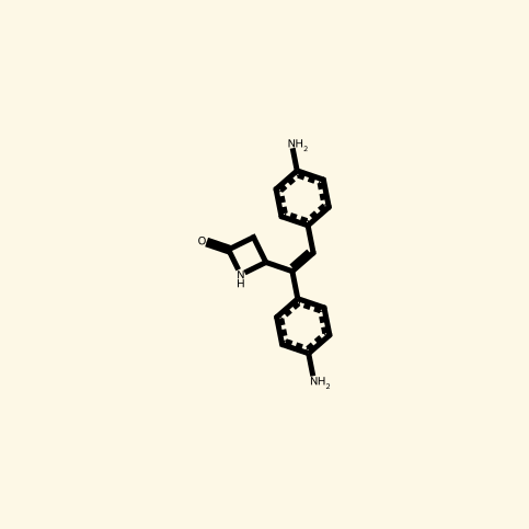 Nc1ccc(C=C(c2ccc(N)cc2)C2CC(=O)N2)cc1